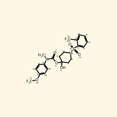 CN(C(=O)OC1(O)CCN(S(=O)(=O)c2ccccc2C(F)(F)F)CC1)c1ccc(OC(F)(F)F)cc1